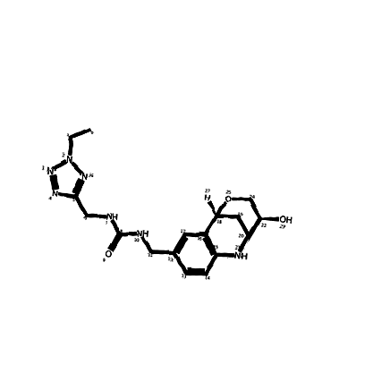 CCn1nnc(CNC(=O)NCc2ccc3c(c2)[C@H]2CC(N3)[C@H](O)CO2)n1